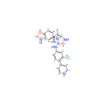 CC1=C2NOC(Nc3ccc(-c4ccncc4)c(Cl)c3)(N=C1)N2c1ccc2c(c1)NCO2